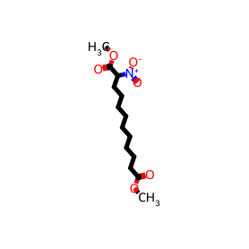 COC(=O)CCCCCCCCCC(C(=O)OC)[N+](=O)[O-]